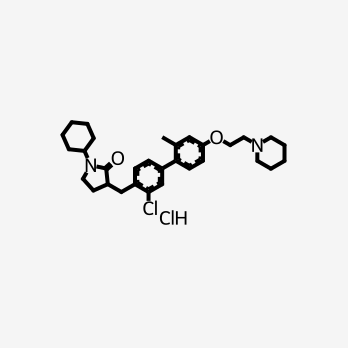 Cc1cc(OCCN2CCCCC2)ccc1-c1ccc(CC2CCN(C3CCCCC3)C2=O)c(Cl)c1.Cl